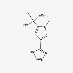 CCCCCC(C)(CCC)c1cc(-c2nnc[nH]2)nn1C